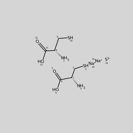 N[C@@H](CS)C(=O)O.N[C@@H](CS)C(=O)O.[Na+].[Na+].[S-2]